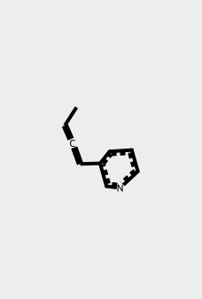 CC=C=Cc1cccnc1